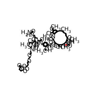 COc1cc(NC(=O)[C@H](CCCNC(N)=O)NC(=O)[C@@H](NC(=S)NCCOCCOCCC(=O)ON2C(=O)CCC2=O)C(C)C)ccc1NC(=O)O[C@H]1CC(O)N(C)c2cc(cc(OC)c2Cl)C/C(C)=C/C=C/[C@@H](OC)[C@@]2(O)C[C@H](OC(=O)N2)[C@@H](C)[C@@H]2O[C@@]12C